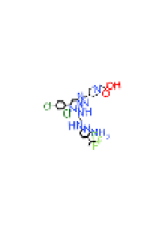 C=C(c1ccc(NCCNc2nc(-c3ccc(Cl)cc3Cl)cc3nc(C4CCN(CC(=O)O)CC4)nn23)nc1N)C(F)(F)F